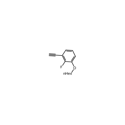 C#Cc1cccc(OCCCCCC)c1F